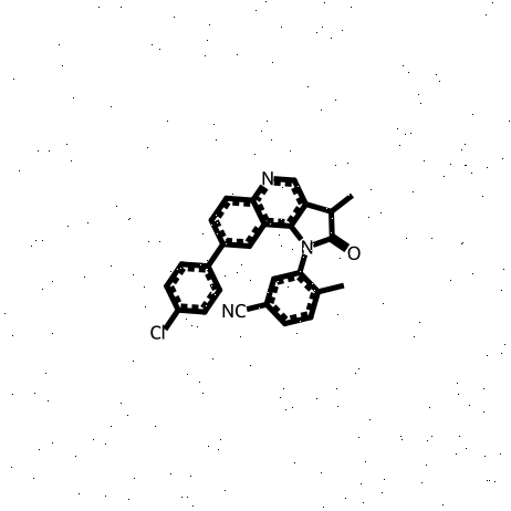 Cc1ccc(C#N)cc1N1C(=O)C(C)c2cnc3ccc(-c4ccc(Cl)cc4)cc3c21